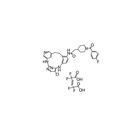 O=C(CC1CCN(C(=O)c2ccc(F)cc2)CC1)Nc1ccc2cc1CCc1cncc(c1)Nc1ncc(Cl)c(n1)N2.O=C(O)C(F)(F)F.O=C(O)C(F)(F)F